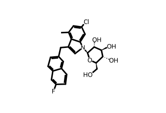 Cc1cc(Cl)cc2c1c(Cc1ccc3cc(F)ccc3c1)cn2[C@@H]1O[C@H](CO)[C@@H](O)[C@H](O)[C@H]1O